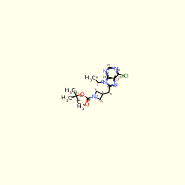 CCn1c(CC2CN(C(=O)OC(C)(C)C)C2)nc2c(Cl)ncnc21